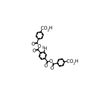 [2H]c1cc(C(=O)OC(=O)c2ccc(C(=O)O)cc2)ccc1C(=O)OC(=O)c1ccc(C(=O)O)cc1